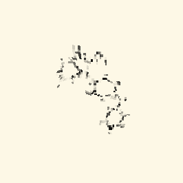 Cc1[nH]c2ccccc2c1C1=CCN(Cc2ccccc2)CC1